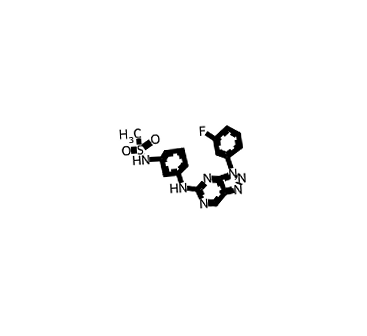 CS(=O)(=O)Nc1cccc(Nc2ncc3nnn(-c4cccc(F)c4)c3n2)c1